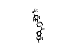 CCSc1cnc(N2CCN(C(C)c3ccc4sc(C)nc4c3)CC2)nc1